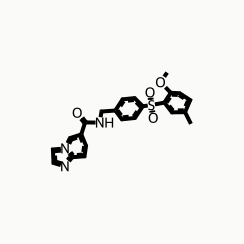 COc1ccc(C)cc1S(=O)(=O)c1ccc(CNC(=O)c2ccc3nccn3c2)cc1